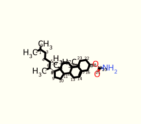 CC(C)CCCC(C)[C@H]1CCC2C3CC=C4C[C@@H](OC(N)=O)CC[C@]4(C)C3CC[C@@]21C